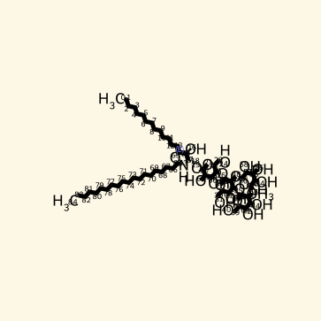 CCCCCCCCCCCCC/C=C/[C@@H](O)[C@H](CO[C@@H]1OC(CO)[C@@H](O[C@@H]2OC(CO)[C@H](O)[C@H](O[C@H]3OC(CO)[C@H](O)[C@H](O)C3O)C2O[C@H]2OC(C)[C@@H](O)C(O)[C@@H]2O)[C@H](O)C1O)NC(=O)CCCCCCCCCCCCCCCCCCC